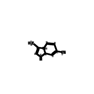 CC1=CNC2C=C(C#N)C=CN12